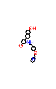 COc1ccc(C2CCc3cc(O)ccc3C2)c(NCCc2ccc(OCCN3C4CCC3CC4)cc2)c1